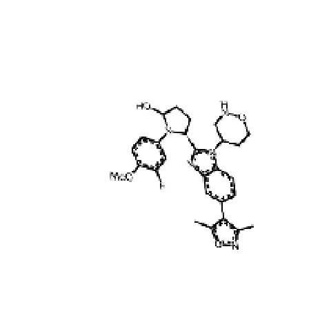 COc1ccc(N2C(O)CC[C@H]2c2nc3cc(-c4c(C)noc4C)ccc3n2C2CCONC2)cc1F